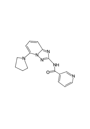 O=C(Nc1nc2cccc(N3CCCC3)n2n1)c1cccnc1